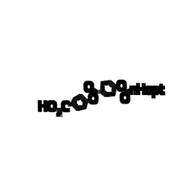 CCCCCCCC(=O)Oc1ccc(C(=O)Oc2ccc(C(=O)O)cc2)cc1